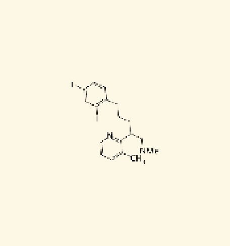 CNCC(CCCc1ccc(F)cc1I)c1ncccc1C